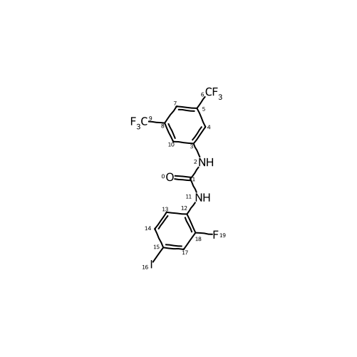 O=C(Nc1cc(C(F)(F)F)cc(C(F)(F)F)c1)Nc1ccc(I)cc1F